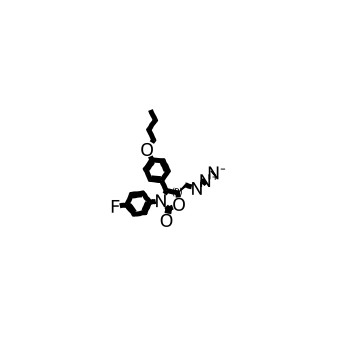 CCCCOc1ccc(C2[C@@H](CN=[N+]=[N-])OC(=O)N2c2ccc(F)cc2)cc1